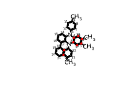 Cc1ccc(N(c2ccc(C)cc2)c2cccc(-c3ccccc3)c2N(c2ccc(C)cc2)c2ccc(C)cc2)cc1